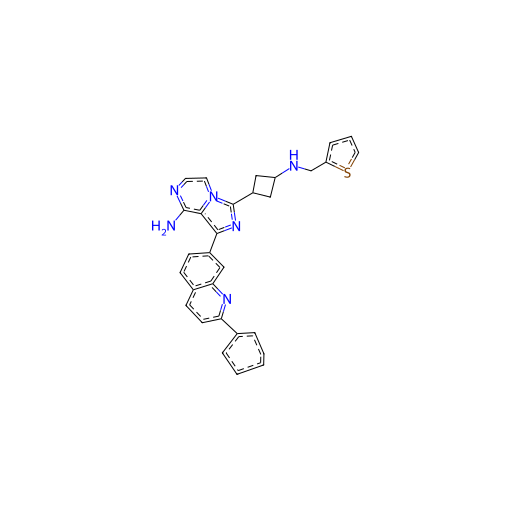 Nc1nccn2c(C3CC(NCc4cccs4)C3)nc(-c3ccc4ccc(-c5ccccc5)nc4c3)c12